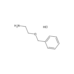 Cl.NCCOCc1ccccc1